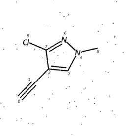 C#Cc1cn(C)nc1Cl